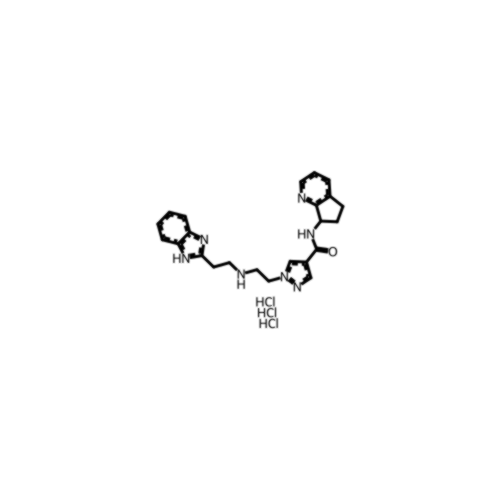 Cl.Cl.Cl.O=C(NC1CCc2cccnc21)c1cnn(CCNCCc2nc3ccccc3[nH]2)c1